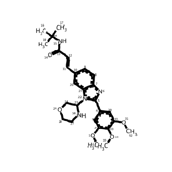 COc1cc(-c2nc3ccc(/C=C/C(=O)NC(C)(C)C)cc3n2C2COCCN2)cc(OC)c1OC